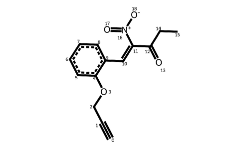 C#CCOc1ccccc1C=C(C(=O)CC)[N+](=O)[O-]